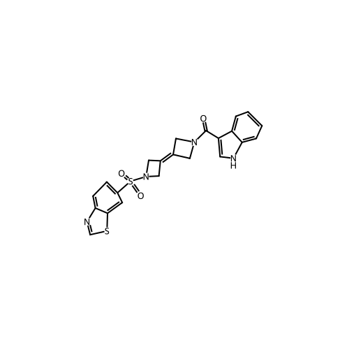 O=C(c1c[nH]c2ccccc12)N1CC(=C2CN(S(=O)(=O)c3ccc4ncsc4c3)C2)C1